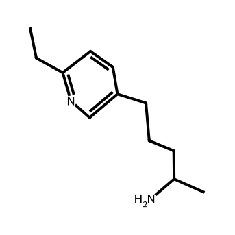 CCc1ccc(CCCC(C)N)cn1